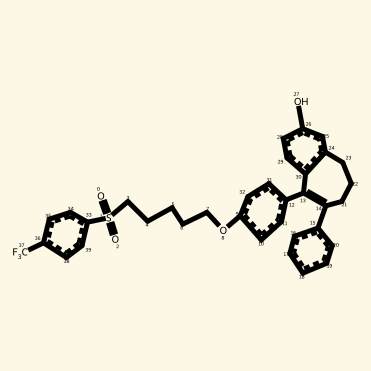 O=S(=O)(CCCCCOc1ccc(C2=C(c3ccccc3)CCCc3cc(O)ccc32)cc1)c1ccc(C(F)(F)F)cc1